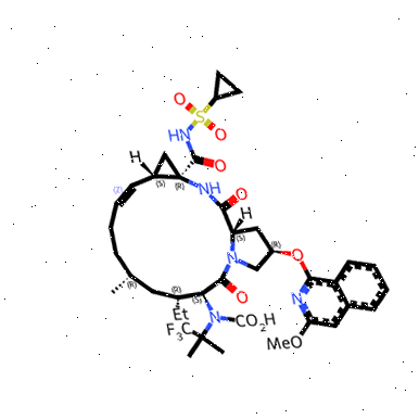 CC[C@@H]1C[C@H](C)CC/C=C\[C@@H]2C[C@@]2(C(=O)NS(=O)(=O)C2CC2)NC(=O)[C@@H]2C[C@@H](Oc3nc(OC)cc4ccccc34)CN2C(=O)[C@H]1N(C(=O)O)C(C)(C)C(F)(F)F